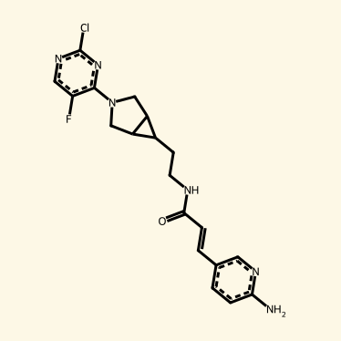 Nc1ccc(/C=C/C(=O)NCCC2C3CN(c4nc(Cl)ncc4F)CC23)cn1